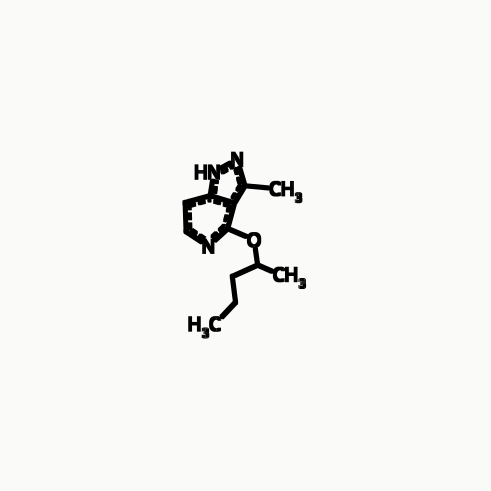 CCCC(C)Oc1nccc2[nH]nc(C)c12